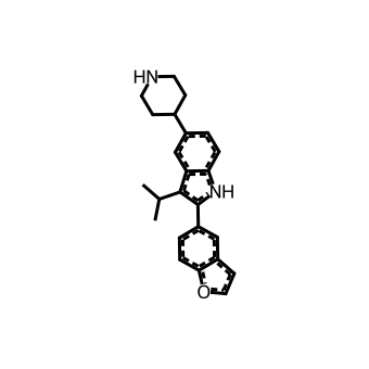 CC(C)c1c(-c2ccc3occc3c2)[nH]c2ccc(C3CCNCC3)cc12